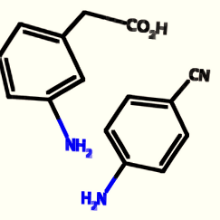 N#Cc1ccc(N)cc1.Nc1cccc(CC(=O)O)c1